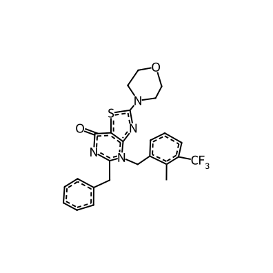 Cc1c(Cn2c(Cc3ccccc3)nc(=O)c3sc(N4CCOCC4)nc32)cccc1C(F)(F)F